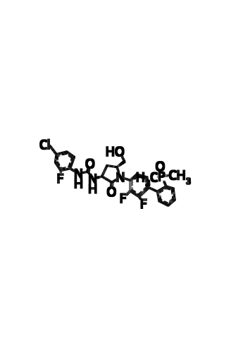 CP(C)(=O)c1ccccc1-c1ccc(N2C(=O)[C@@H](NC(=O)Nc3ccc(Cl)cc3F)C[C@H]2CO)c(F)c1F